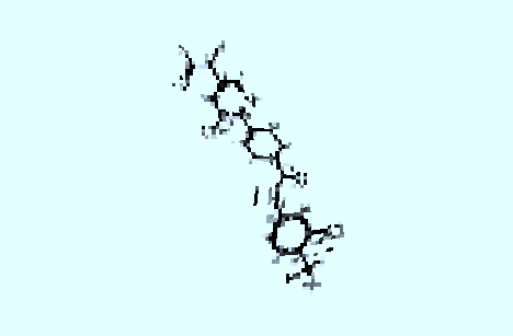 CC(=O)C(C)c1cnc(C2=CCN(C(=O)Nc3ccc(C(F)(F)F)c(Cl)c3)CC2)c(Cl)c1